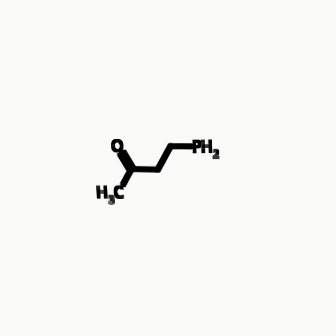 CC(=O)CCP